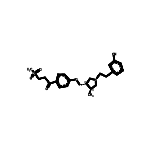 C[C@@H]1CN(CCc2cccc(C#N)c2)C[C@H]1COc1ccc(C(=O)CCS(C)(=O)=O)cc1